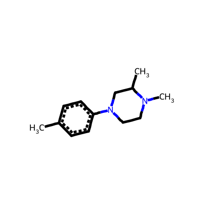 Cc1ccc(N2CCN(C)C(C)C2)cc1